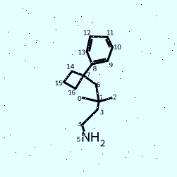 CC(C)(CCN)CC1(c2ccccc2)CCC1